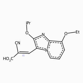 CCOc1cccn2c(/C=C(\C#N)C(=O)O)c(OC(C)C)nc12